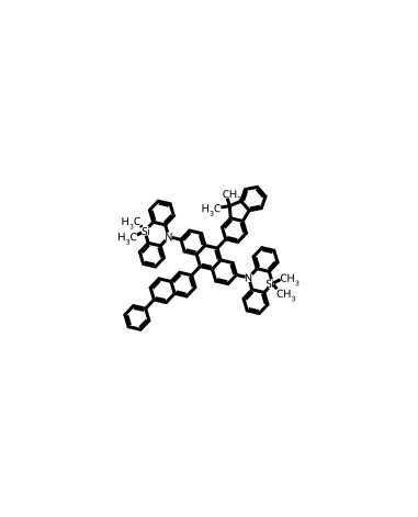 CC1(C)c2ccccc2-c2ccc(-c3c4ccc(N5c6ccccc6[Si](C)(C)c6ccccc65)cc4c(-c4ccc5cc(-c6ccccc6)ccc5c4)c4ccc(N5c6ccccc6[Si](C)(C)c6ccccc65)cc34)cc21